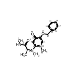 CNC(=O)[C@H](C)N(C)c1cc(=O)c(OCc2ccccc2)cn1C